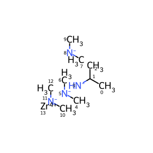 CC(C)[NH-].C[N-]C.C[N-]C.C[N-]C.[Zr+4]